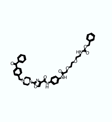 O=C(COCCOCCNC(=O)OCc1ccccc1)Nc1ccc(NC(=O)c2coc(N3CCN(Cc4ccc(C(=O)c5ccccc5)cc4)CC3)n2)cc1